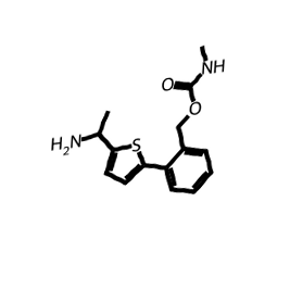 CNC(=O)OCc1ccccc1-c1ccc(C(C)N)s1